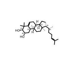 CC(C)=CCC[C@@H](C)[C@H]1CC[C@H]2[C@@H]3CC=C4C(C)(C)[C@H](O)[C@H](O)C[C@]4(C)[C@H]3CC[C@]12C